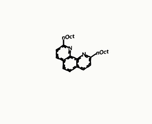 CCCCCCCCc1ccc2ccc3ccc(CCCCCCCC)nc3c2n1